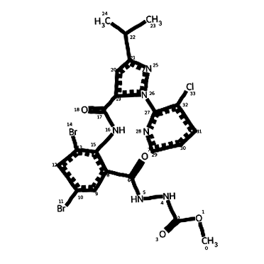 COC(=O)NNC(=O)c1cc(Br)cc(Br)c1NC(=O)c1cc(C(C)C)nn1-c1ncccc1Cl